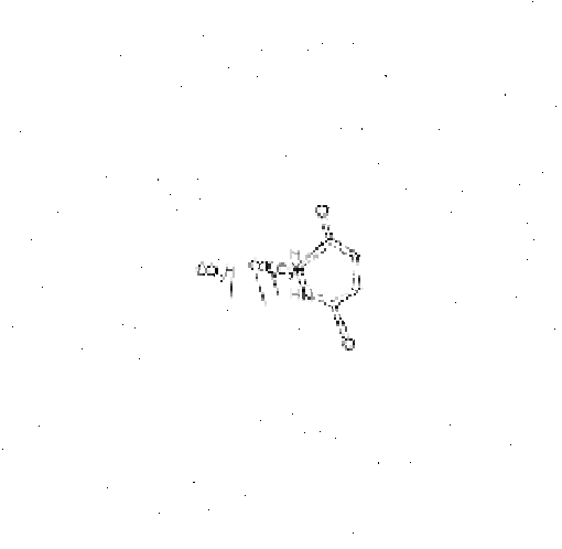 CC(=O)O.CC(=O)O.CC(=O)O.O=c1ccc(=O)[nH][nH]1